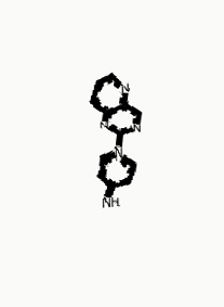 N=c1ccn(-c2ncc3ncccc3n2)cc1